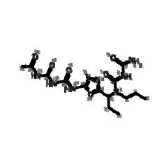 CCCN(C(=O)NC(N)=O)C(CC)c1nnc(NC(=O)NC(=O)NC(C)=O)o1